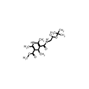 COC(=O)C1=C(C)NC(C)=C(C(=O)NCC(=O)OC(C)(C)C)C1C